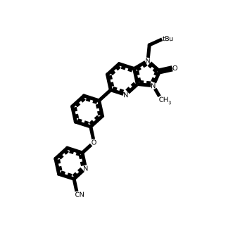 Cn1c(=O)n(CC(C)(C)C)c2ccc(-c3cccc(Oc4cccc(C#N)n4)c3)nc21